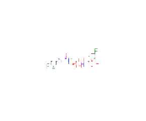 O=C(/C=C/c1ccc(F)c(F)c1)N1CCC(O)(C(O)CN2CCC(O)(c3ccc(F)cc3)CC2)CC1